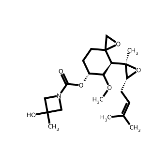 COC1[C@H](OC(=O)N2CC(C)(O)C2)CCC2(CO2)[C@H]1[C@@]1(C)O[C@@H]1CC=C(C)C